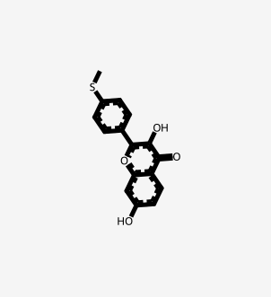 CSc1ccc(-c2oc3cc(O)ccc3c(=O)c2O)cc1